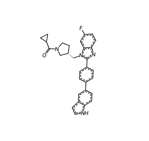 O=C(C1CC1)N1CC[C@H](Cn2c(-c3ccc(-c4ccc5[nH]ccc5c4)cc3)nc3ccc(F)cc32)C1